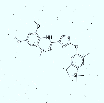 COc1cc(OC)c(NC(=O)c2ccc(Oc3cc4c(cc3C)[Si](C)(C)CC4)o2)c(OC)c1